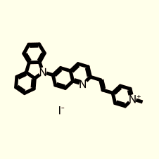 C[n+]1ccc(C=Cc2ccc3cc(-n4c5ccccc5c5ccccc54)ccc3n2)cc1.[I-]